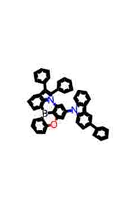 c1ccc(-c2ccc3c(c2)c2ccccc2n3-c2cc3c4c(c2)-n2c(-c5ccccc5)c(-c5ccccc5)c5cccc(c52)B4c2ccccc2O3)cc1